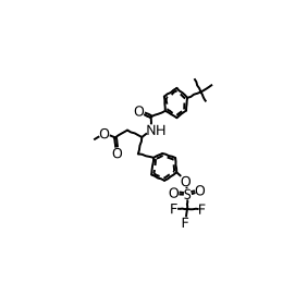 COC(=O)CC(Cc1ccc(OS(=O)(=O)C(F)(F)F)cc1)NC(=O)c1ccc(C(C)(C)C)cc1